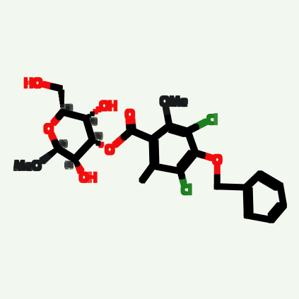 COc1c(Cl)c(OCc2ccccc2)c(Cl)c(C)c1C(=O)O[C@H]1[C@@H](O)[C@@H](CO)O[C@H](OC)[C@@H]1O